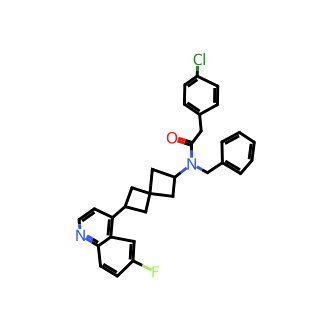 O=C(Cc1ccc(Cl)cc1)N(Cc1ccccc1)C1CC2(CC(c3ccnc4ccc(F)cc34)C2)C1